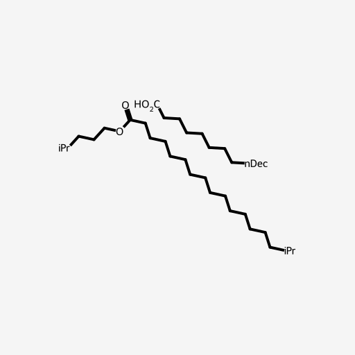 CC(C)CCCCCCCCCCCCCCC(=O)OCCCC(C)C.CCCCCCCCCCCCCCCCCC(=O)O